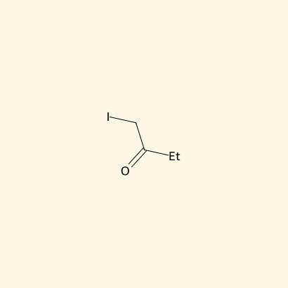 CCC(=O)CI